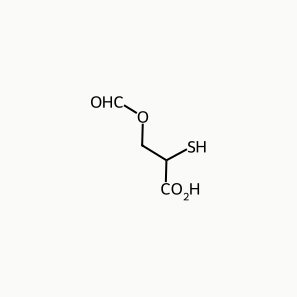 O=COCC(S)C(=O)O